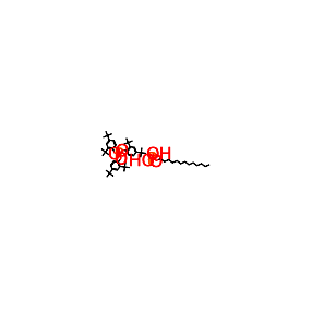 CC(C)(C)c1ccc(OP(Oc2ccc(C(C)(C)C)cc2C(C)(C)C)Oc2ccc(C(C)(C)C)cc2C(C)(C)C)c(C(C)(C)C)c1.CCCCCCCCCCCCCOP(O)O